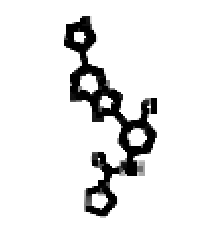 O=C(Nc1ccc(Cl)c(-c2cn3cc(-c4ccsc4)cnc3n2)c1)N1CCCC1